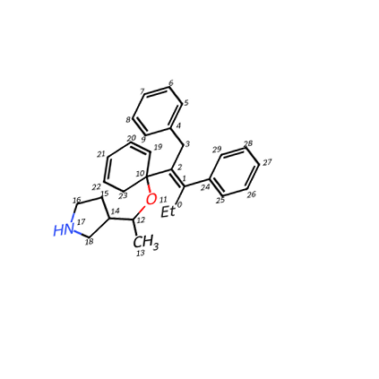 CC/C(=C(/Cc1ccccc1)C1(OC(C)C2CCNC2)C=CC=CC1)c1ccccc1